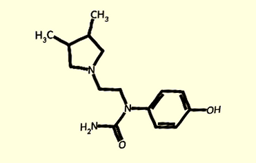 CC1CN(CCN(C(N)=O)c2ccc(O)cc2)CC1C